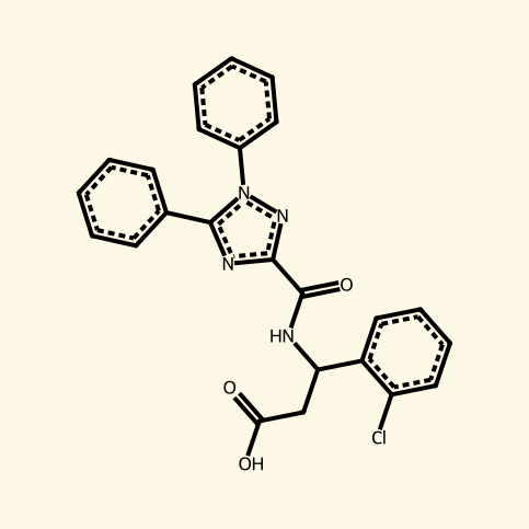 O=C(O)CC(NC(=O)c1nc(-c2ccccc2)n(-c2ccccc2)n1)c1ccccc1Cl